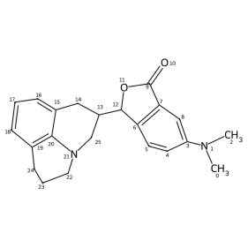 CN(C)c1ccc2c(c1)C(=O)OC2C1Cc2cccc3c2N(CCC3)C1